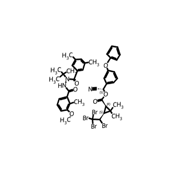 CC1(C)[C@H](C(=O)O[C@H](C#N)c2cccc(Oc3ccccc3)c2)[C@@H]1C(Br)C(Br)(Br)Br.COc1cccc(C(=O)NN(C(=O)c2cc(C)cc(C)c2)C(C)(C)C)c1C